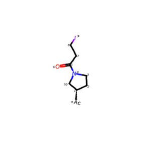 CC(=O)[C@@H]1CCN(C(=O)CCI)C1